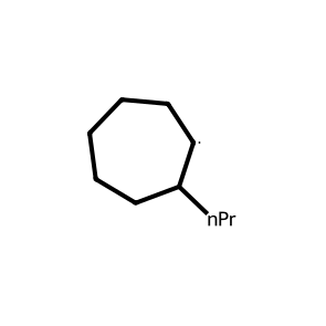 CCCC1[CH]CCCCC1